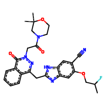 CC(F)COc1cc2nc(Cc3nn(CC(=O)N4CCOC(C)(C)C4)c(=O)c4ccccc34)[nH]c2cc1C#N